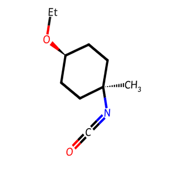 CCO[C@H]1CC[C@@](C)(N=C=O)CC1